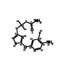 CC(C)(CC(N)=O)Cc1csc(Oc2ccc(N)c(F)c2)n1